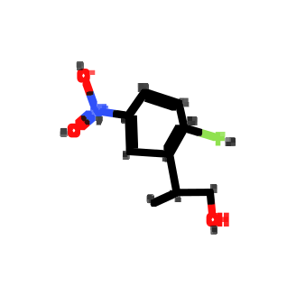 C[C](CO)c1cc([N+](=O)[O-])ccc1F